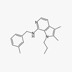 CCCn1c(C)c(C)c2ccnc(NCc3cccc(C)c3)c21